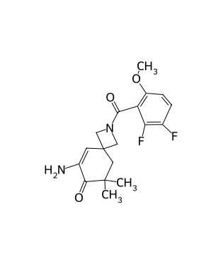 COc1ccc(F)c(F)c1C(=O)N1CC2(C=C(N)C(=O)C(C)(C)C2)C1